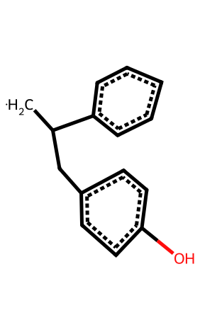 [CH2]C(Cc1ccc(O)cc1)c1ccccc1